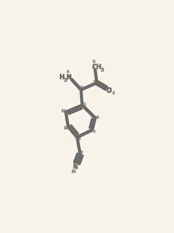 CC(=O)C(N)c1ccc(C#N)cc1